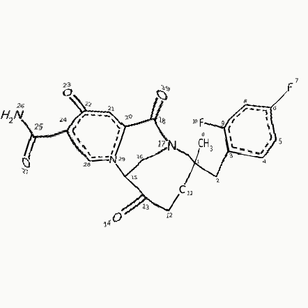 CC1(Cc2ccc(F)cc2F)CCC(=O)C2CN1C(=O)c1cc(=O)c(C(N)=O)cn12